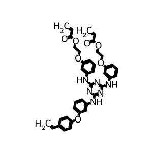 C=CC(=O)OCCOc1cccc(Nc2nc(Nc3cccc(OCCOC(=O)C=C)c3)nc(Nc3cccc(Oc4ccc(C=C)cc4)c3)n2)c1